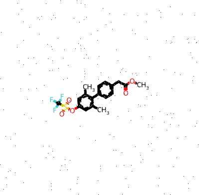 COC(=O)Cc1ccc(-c2c(C)cc(OS(=O)(=O)C(F)(F)F)cc2C)cc1